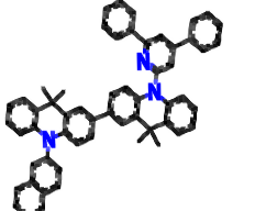 CC1(C)c2ccccc2N(c2ccc3ccccc3c2)c2ccc(-c3ccc4c(c3)C(C)(C)c3ccccc3N4c3cc(-c4ccccc4)cc(-c4ccccc4)n3)cc21